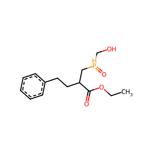 CCOC(=O)C(CCc1ccccc1)C[PH](=O)CO